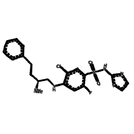 CN[C@@H](CCc1ccccc1)CNc1cc(F)c(S(=O)(=O)Nc2nccs2)cc1Cl